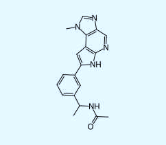 CC(=O)NC(C)c1cccc(-c2cc3c(ncc4ncn(C)c43)[nH]2)c1